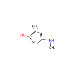 CNc1ccc(O)c(C)c1